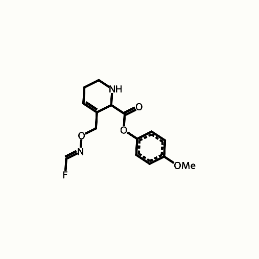 COc1ccc(OC(=O)C2NCCC=C2CON=CF)cc1